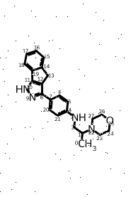 CC(CNc1ccc(-c2n[nH]c3c2Cc2ccccc2-3)cc1)N1CCOCC1